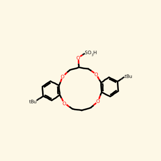 CC(C)(C)c1ccc2c(c1)OCCCOc1ccc(C(C)(C)C)cc1OCC(OS(=O)(=O)O)CO2